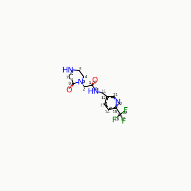 O=C(CN1CCNCC1=O)NCc1ccc(C(F)(F)F)nc1